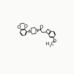 COc1ccc2c(c1)C(CC(=O)N1CCN(c3cccc4c3OCCO4)CC1)C2